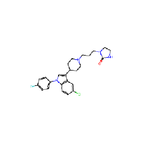 O=C1NCCN1CCCN1CCC(c2cn(-c3ccc(F)cc3)c3ccc(Cl)cc23)CC1